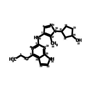 CCOc1nc(Nc2cnn(C3CCC(O)C3)c2C)nc2[nH]ccc12